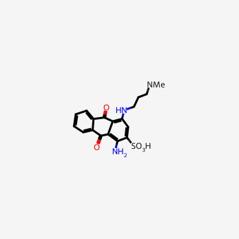 CNCCCNc1cc(S(=O)(=O)O)c(N)c2c1C(=O)c1ccccc1C2=O